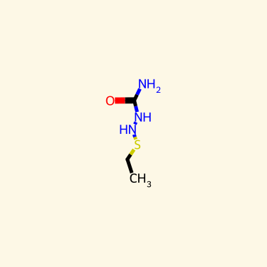 CCSNNC(N)=O